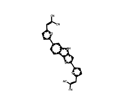 N#CC(C#N)=Cc1ccc(-c2ccc3c(c2)[nH]c2cc(-c4ccc(C=C(C#N)C#N)s4)sc23)o1